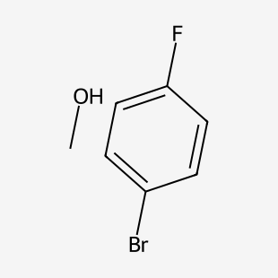 CO.Fc1ccc(Br)cc1